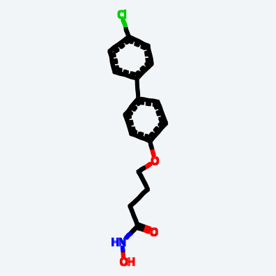 O=C(CCCOc1ccc(-c2ccc(Cl)cc2)cc1)NO